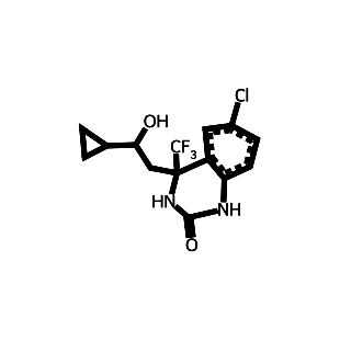 O=C1Nc2ccc(Cl)cc2C(CC(O)C2CC2)(C(F)(F)F)N1